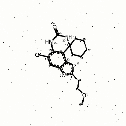 COCCc1nc2cc(Cl)c3c(c2o1)C1(CCCCC1)NC(=O)N3